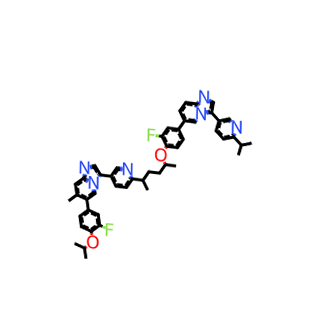 Cc1cc2ncc(-c3ccc(C(C)CCC(C)Oc4ccc(-c5ccc6ncc(-c7ccc(C(C)C)nc7)n6c5)cc4F)nc3)n2cc1-c1ccc(OC(C)C)c(F)c1